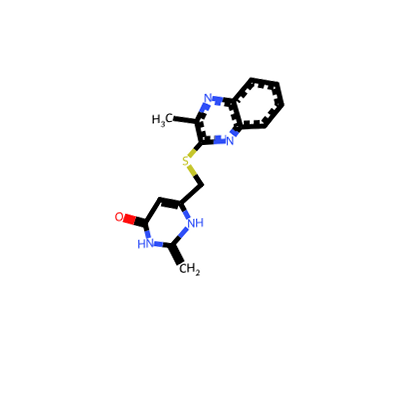 C=C1NC(=O)C=C(CSc2nc3ccccc3nc2C)N1